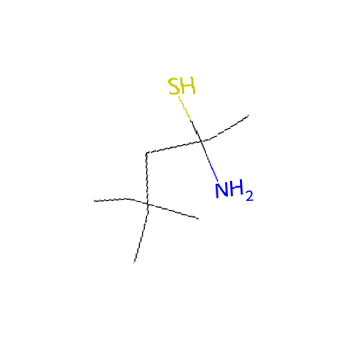 CC(C)(C)CC(C)(N)S